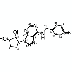 O[C]1CC[C@H](n2nnc3c(NCc4ccc(Br)cc4)ncnc32)[C@H]1O